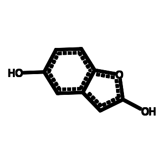 Oc1ccc2oc(O)cc2c1